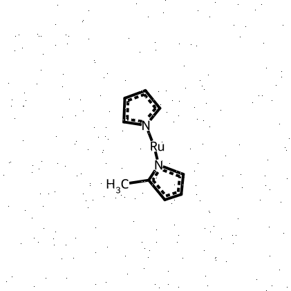 Cc1ccc[n]1[Ru][n]1cccc1